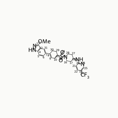 COc1n[nH]c2ccc(C3=CC=C(S(=O)(=O)N4CCC(Nc5ccc(C(F)(F)F)cn5)CC4)CC3)cc12